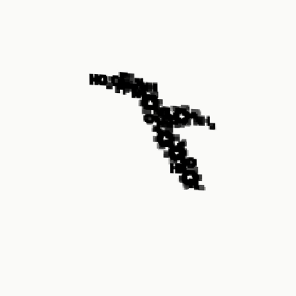 Cc1cc(C(=O)NC2CCN(C)CC2)ccc1-c1ccc(C[C@H](NC(=O)C2CCC(CN)CC2)C(=O)Nc2ccc(-c3nc(C(F)(F)C(F)(F)C(=O)O)n[nH]3)cc2)cc1